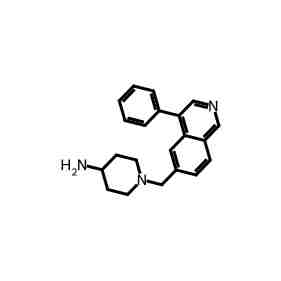 NC1CCN(Cc2ccc3cncc(-c4ccccc4)c3c2)CC1